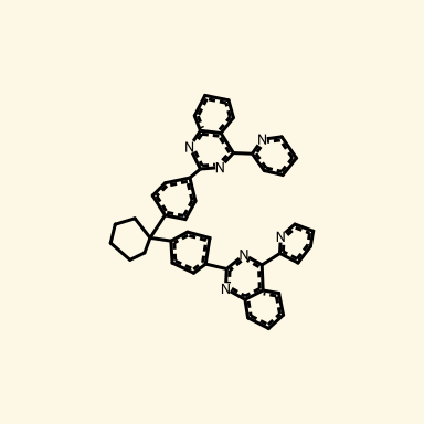 c1ccc(-c2nc(-c3ccc(C4(c5ccc(-c6nc(-c7ccccn7)c7ccccc7n6)cc5)CCCCC4)cc3)nc3ccccc23)nc1